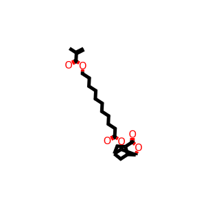 C=C(C)C(=O)OCCCCCCCCCCC(=O)OC1C2CC3C(=O)OC1C3C2